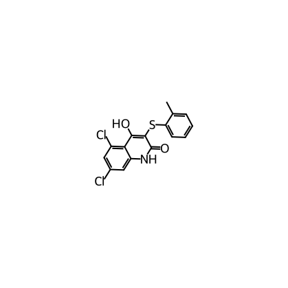 Cc1ccccc1Sc1c(O)c2c(Cl)cc(Cl)cc2[nH]c1=O